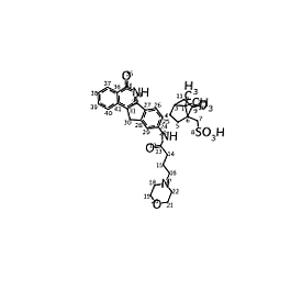 CC1(C)C2CCC1(CS(=O)(=O)O)C(=O)C2.O=C(CCCN1CCOCC1)Nc1ccc2c(c1)Cc1c-2[nH]c(=O)c2ccccc12